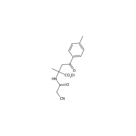 CCOC(=O)C(C)(CC(=O)c1ccc(C)cc1)NC(=O)CC#N